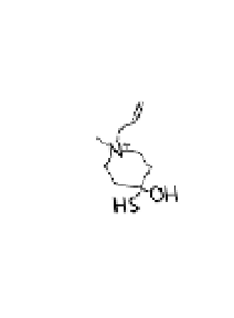 C=CC[N+]1(C)CCC(O)(S)CC1